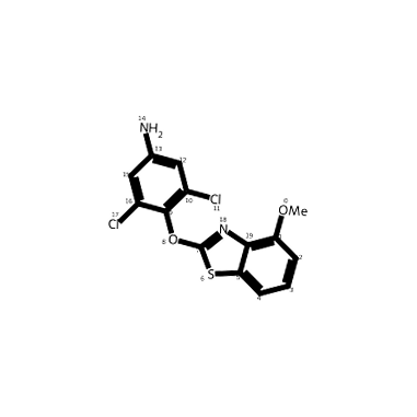 COc1cccc2sc(Oc3c(Cl)cc(N)cc3Cl)nc12